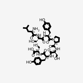 CC(C)C[C@H](N)C(=O)N[C@@H](CO)C(=O)N[C@@H](Cc1ccc(O)cc1)C(=O)N1CCC[C@H]1C(=O)N[C@@H](CO)C(=O)N[C@@H](Cc1ccc(O)cc1)C(=O)N[C@@H](CS)C(=O)O